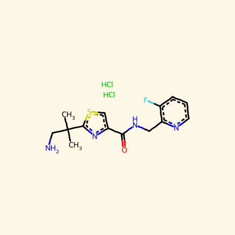 CC(C)(CN)c1nc(C(=O)NCc2ncccc2F)cs1.Cl.Cl